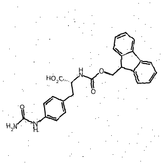 NC(=O)Nc1ccc(C[C@@H](NC(=O)OCC2c3ccccc3-c3ccccc32)C(=O)O)cc1